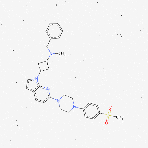 CN(Cc1ccccc1)C1CC(n2ccc3ccc(N4CCN(c5ccc(S(C)(=O)=O)cc5)CC4)nc32)C1